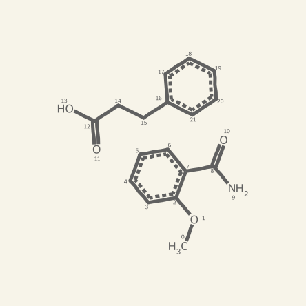 COc1ccccc1C(N)=O.O=C(O)CCc1ccccc1